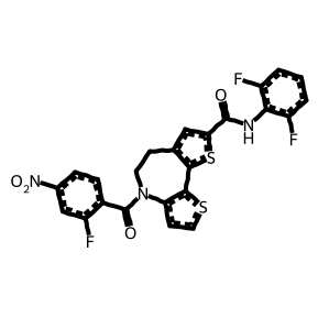 O=C(Nc1c(F)cccc1F)c1cc2c(s1)-c1sccc1N(C(=O)c1ccc([N+](=O)[O-])cc1F)CC2